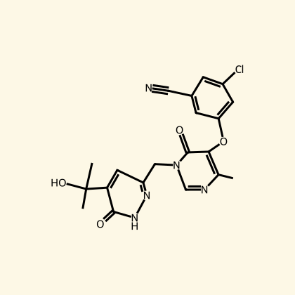 Cc1ncn(Cc2cc(C(C)(C)O)c(=O)[nH]n2)c(=O)c1Oc1cc(Cl)cc(C#N)c1